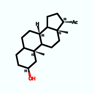 CC(=O)[C@H]1CCC2[C@@H]3CCC4CC[C@H](O)C[C@]4(C)C3CC[C@@]21C